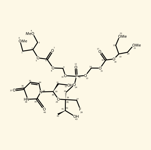 COCC(COC)OC(=O)OCOP(=O)(OCOC(=O)OC(COC)COC)OC[C@@](CF)(O[C@H](CO)n1ccc(=O)[nH]c1=O)[C@H](C)O